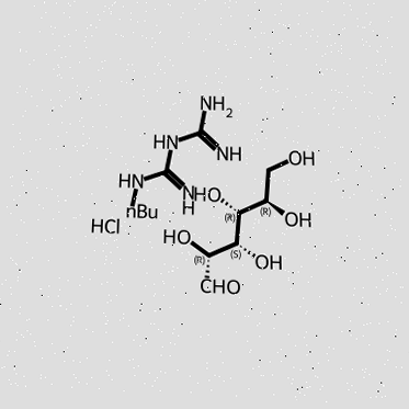 CCCCNC(=N)NC(=N)N.Cl.O=C[C@H](O)[C@@H](O)[C@H](O)[C@H](O)CO